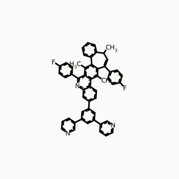 Cc1c2c(c(C)c3c1c(-c1ccc(F)cc1)nc1cc(-c4cc(-c5cccnc5)cc(-c5cccnc5)c4)ccc13)C(c1ccc(F)cc1)=CC(C)c1ccccc1-2